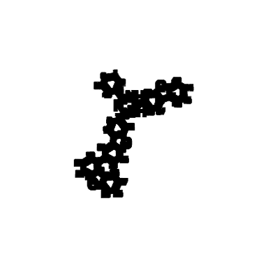 c1ccc(C2N=C(c3ccc4c(c3)oc3ccc(-c5cccc6oc7ccccc7c56)cc34)NC(c3ccc4c(c3)oc3ccccc34)N2)cc1